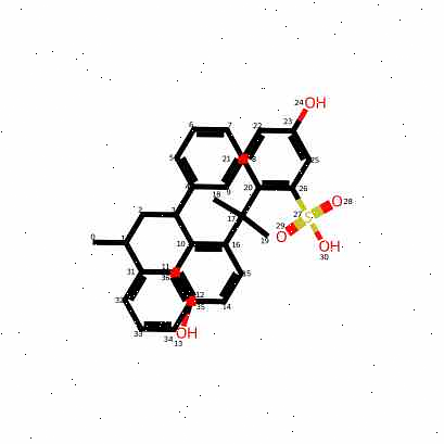 CC(CC(c1ccccc1)c1cc(O)ccc1C(C)(C)c1ccc(O)cc1S(=O)(=O)O)c1ccccc1